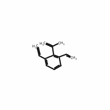 C=Cc1cccc(C=C)c1C(=C)C